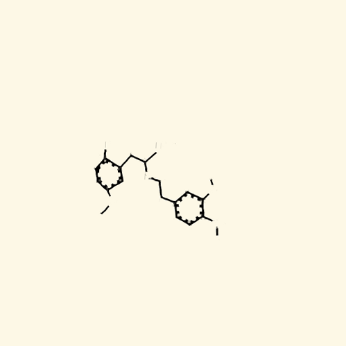 COc1ccc(I)c(CC(C)NCCc2ccc(OC)c(OC)c2)c1.Cl